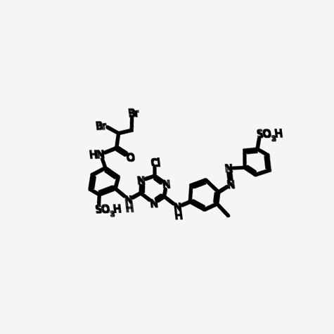 Cc1cc(Nc2nc(Cl)nc(Nc3cc(NC(=O)C(Br)CBr)ccc3S(=O)(=O)O)n2)ccc1/N=N/c1cccc(S(=O)(=O)O)c1